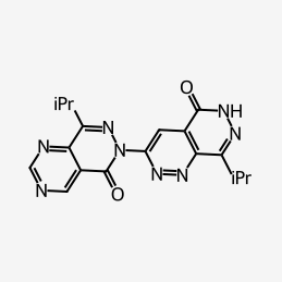 CC(C)c1n[nH]c(=O)c2cc(-n3nc(C(C)C)c4ncncc4c3=O)nnc12